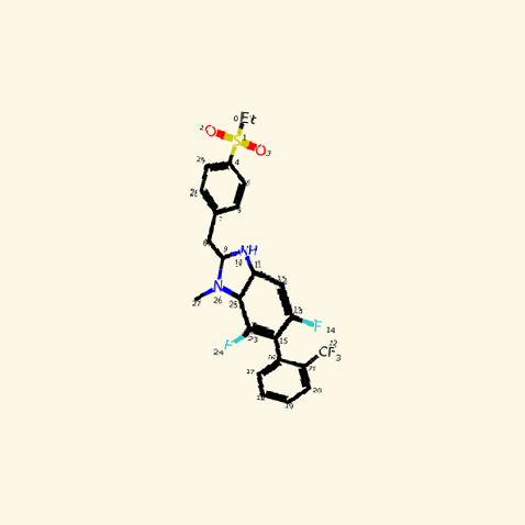 CCS(=O)(=O)c1ccc(CC2NC3C=C(F)C(c4ccccc4C(F)(F)F)=C(F)C3N2C)cc1